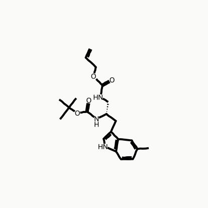 C=CCOC(=O)NC[C@H](Cc1c[nH]c2ccc(C)cc12)NC(=O)OC(C)(C)C